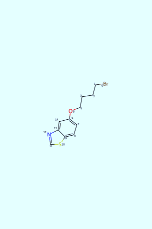 BrCCCCOc1ccc2scnc2c1